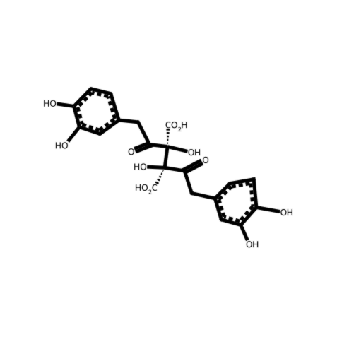 O=C(O)[C@@](O)(C(=O)Cc1ccc(O)c(O)c1)[C@@](O)(C(=O)O)C(=O)Cc1ccc(O)c(O)c1